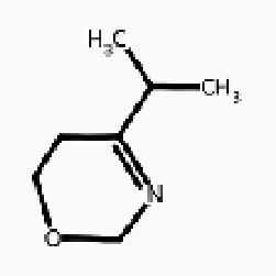 CC(C)C1=NCOCC1